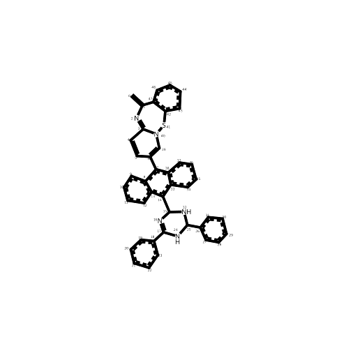 C=C1N=C2C=CC(c3c4ccccc4c(C4N=C(c5ccccc5)NC(c5ccccc5)N4)c4ccccc34)=CN2Sc2ccccc21